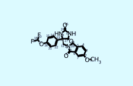 COc1ccc2c(c1)C(=O)N(C[C@@]1(c3ccc(OC(F)F)cc3)NC(=O)NC1=O)C2